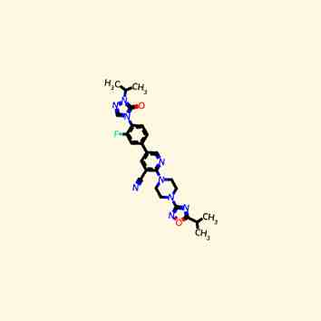 CC(C)c1nc(N2CCN(c3ncc(-c4ccc(-n5cnn(C(C)C)c5=O)c(F)c4)cc3C#N)CC2)no1